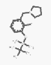 CC(C)(C)[Si](C)(C)Oc1cccc(CN2CCCC2)c1F